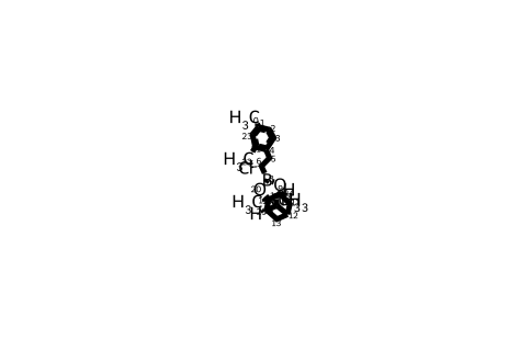 Cc1ccc(C[C@@H](Cl)B2O[C@@H]3CC4C[C@@H](C4(C)C)[C@]3(C)O2)c(C)c1